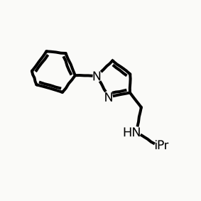 CC(C)NCc1ccn(-c2ccccc2)n1